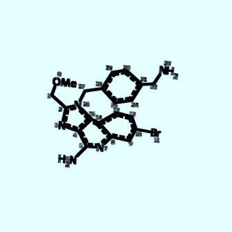 COCc1nc2c(N)nc3cc(Br)ccc3c2n1Cc1ccc(CN)cc1